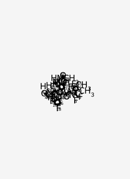 C[C@@H]1c2c(C(F)F)nn(CC(=O)N[C@@H](Cc3cc(F)cc(F)c3)c3nc4c(cc3-c3ccc(Cl)c5c(NS(C)(=O)=O)nn(C)c35)NC(=O)CN4)c2C(F)(F)[C@@H]1C